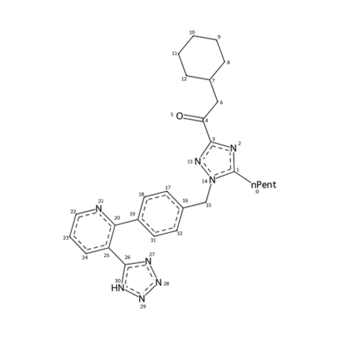 CCCCCc1nc(C(=O)CC2CCCCC2)nn1Cc1ccc(-c2ncccc2-c2nnn[nH]2)cc1